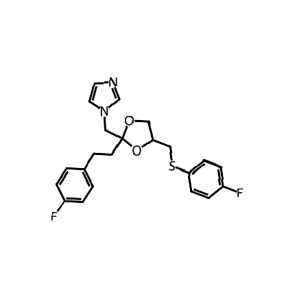 Fc1ccc(CCC2(Cn3ccnc3)OCC(CSc3ccc(F)cc3)O2)cc1